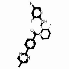 Cc1cnc(-c2ccc(C(=O)N3CCC[C@@H](C)[C@H]3CNc3ncc(F)cc3F)cc2)nc1